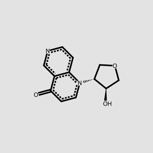 O=c1ccn([C@@H]2COC[C@H]2O)c2ccncc12